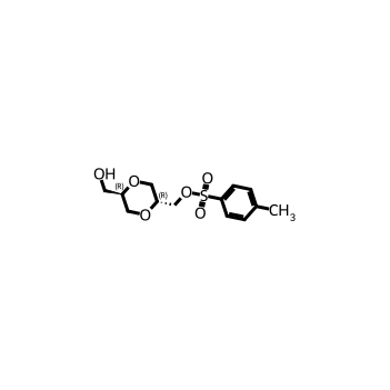 Cc1ccc(S(=O)(=O)OC[C@H]2CO[C@H](CO)CO2)cc1